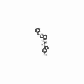 CC(C)(C)c1ccc2c(c1)CCC2NC(=O)Nc1cccc2nn(Cc3ccccc3)cc12